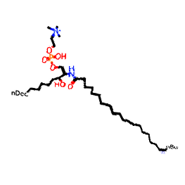 CCCC/C=C\CCCCCCCCCCCCCCCCCC(=O)NC(COP(=O)(O)OCC[N+](C)(C)C)C(O)CCCCCCCCCCCCCCC